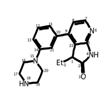 CCC1C(=O)Nc2nccc(-c3cccc(N4CCNCC4)c3)c21